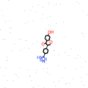 O=c1c(-c2ccc(-c3nnn[nH]3)cc2)coc2cc(O)ccc12